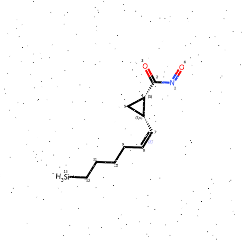 O=NC(=O)[C@H]1C[C@H]1/C=C\CCCC[SiH3]